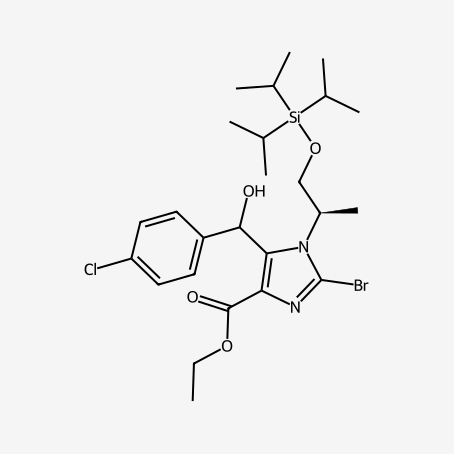 CCOC(=O)c1nc(Br)n([C@H](C)CO[Si](C(C)C)(C(C)C)C(C)C)c1C(O)c1ccc(Cl)cc1